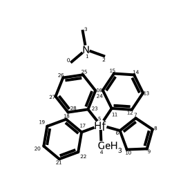 CN(C)C.[GeH3][Hf]([C]1=CC=CC1)([c]1ccccc1)([c]1ccccc1)[c]1ccccc1